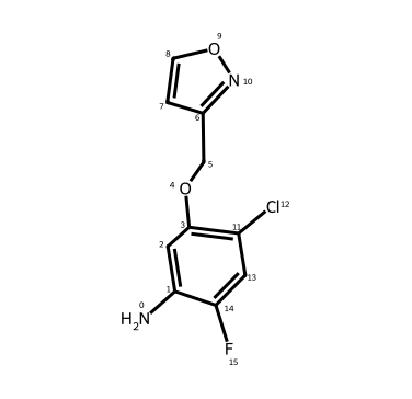 Nc1cc(OCc2ccon2)c(Cl)cc1F